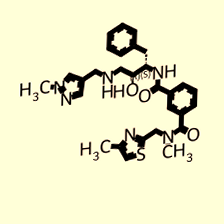 Cc1csc(CN(C)C(=O)c2cccc(C(=O)N[C@@H](Cc3ccccc3)[C@H](O)CNCc3cnn(C)c3)c2)n1